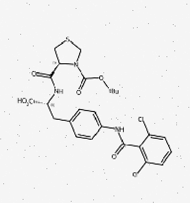 CC(C)(C)OC(=O)N1CSC[C@@H]1C(=O)N[C@H](Cc1ccc(NC(=O)c2c(Cl)cccc2Cl)cc1)C(=O)O